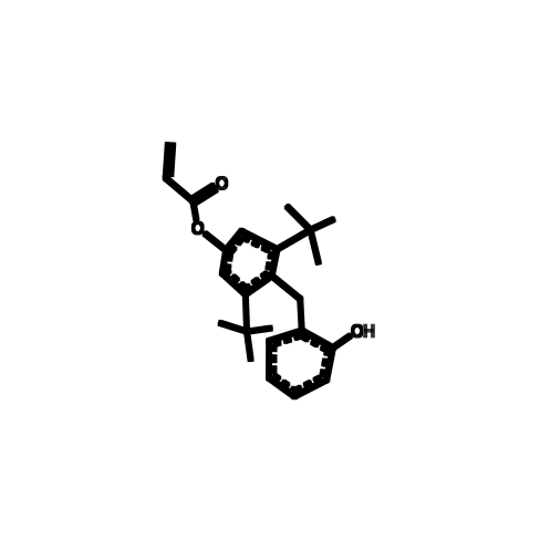 C=CC(=O)Oc1cc(C(C)(C)C)c(Cc2ccccc2O)c(C(C)(C)C)c1